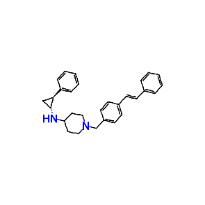 C(=Cc1ccc(CN2CCC(N[C@@H]3C[C@H]3c3ccccc3)CC2)cc1)c1ccccc1